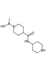 CB(O)N1CCC(C(=O)NC2CCNCC2)CC1